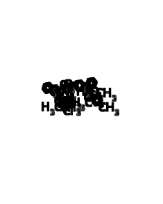 Cc1cc(C)c(S(=O)(=O)Nc2ccccc2C2CCN(C(=O)[C@@H](Cc3ccc(Cl)cc3)NC(=O)[C@@H]3Cc4ccccc4CN3C(=O)OC(C)(C)C)CC2)c(C)c1